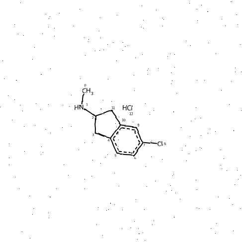 CNC1Cc2ccc(Cl)cc2C1.Cl